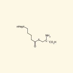 CCCCCCCCCCCC(=O)SC[C@H](N)C(=O)O